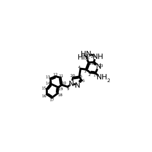 Nc1cc(Cc2cnn(Cc3cccc4ccccc34)c2)c2c(n1)NNN2